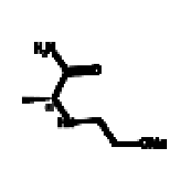 COCCN[C@H](C)C(N)=O